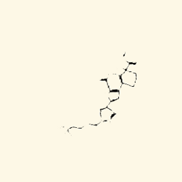 CC1(C(=O)OF)CCCc2c1oc(=O)c1sc(-c3cnn(COCC[Si](C)(C)C)c3)cc21